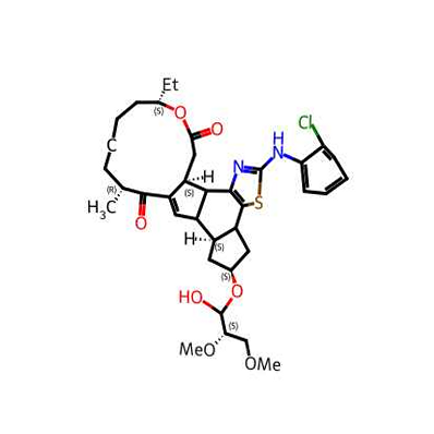 CC[C@H]1CCCC[C@@H](C)C(=O)C2=CC3C(c4nc(Nc5ccccc5Cl)sc4C4C[C@@H](OC(O)[C@H](COC)OC)C[C@H]43)[C@@H]2CC(=O)O1